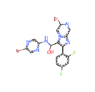 OC(Nc1cnc(Br)cn1)c1c(-c2ccc(F)cc2F)nc2cnc(Br)cn12